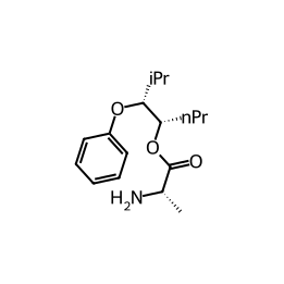 CCC[C@H](OC(=O)[C@H](C)N)[C@H](Oc1ccccc1)C(C)C